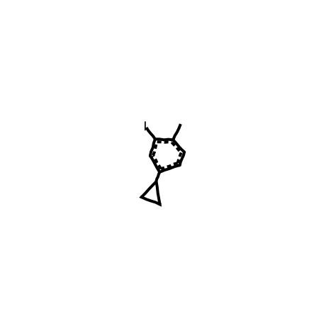 Cc1ccc(C2CC2)cc1I